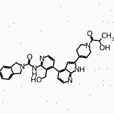 CC(O)C(=O)N1CC=C(c2cc3c(-c4ccnc(NC(=O)N5Cc6ccccc6C5)c4CO)ccnc3[nH]2)CC1